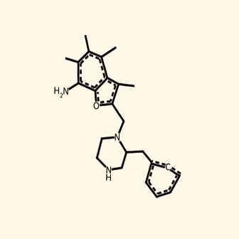 Cc1c(C)c(C)c2c(C)c(CN3CCNCC3Cc3ccccc3)oc2c1N